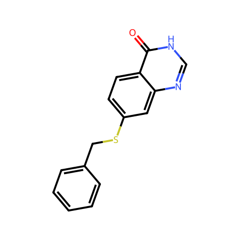 O=c1[nH]cnc2cc(SCc3ccccc3)ccc12